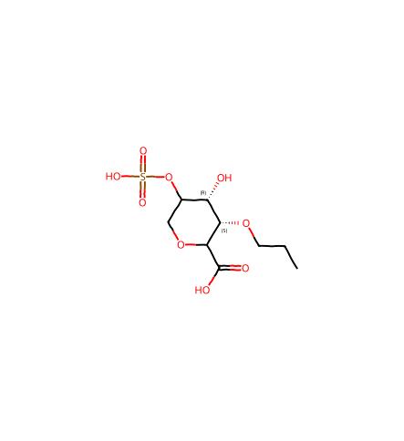 CCCO[C@@H]1C(C(=O)O)OCC(OS(=O)(=O)O)[C@@H]1O